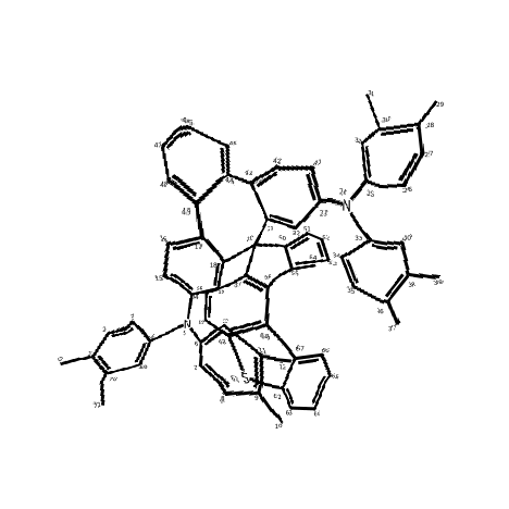 Cc1ccc(N(c2ccc(C)c(C)c2)c2ccc3c(c2)C2(c4cc(N(c5ccc(C)c(C)c5)c5ccc(C)c(C)c5)ccc4-c4ccccc4-3)c3ccccc3-c3c2ccc2sc4ccccc4c32)cc1C